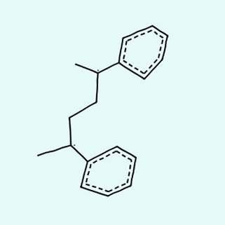 C[C](CC[C](C)c1ccccc1)c1ccccc1